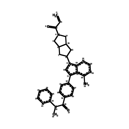 C=CC(=O)N1CC2CC(n3cc(-c4ccc(C(=O)N(C)c5ccccn5)cc4)c4c(N)ncnc43)CC2C1